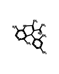 C=C(C)C1=C(C)Nc2c(N)cnc(C)c2C1c1ccc(C)cc1C